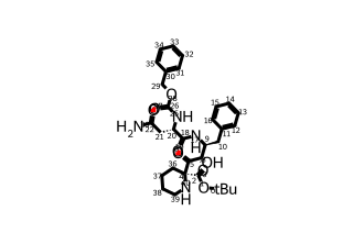 CC(C)(C)OC(=O)[C@@]1(C(=O)C(O)[C@H](Cc2ccccc2)NC(=O)[C@H](CC(N)=O)NC(=O)OCc2ccccc2)CCCCN1